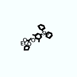 CCC1(OC(=O)COc2c(C)cc([SH](c3ccccc3)c3ccccc3)cc2C)CCCC1